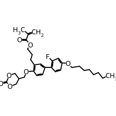 C=C(C)C(=O)OCCCc1cc(-c2ccc(OCCCCCCCC)cc2F)ccc1OCC1COC(=O)OC1